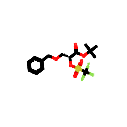 CC(C)(C)OC(=O)[C@@H](COCc1ccccc1)OS(=O)(=O)C(F)(F)F